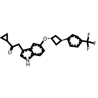 O=C(Cc1c[nH]c2ccc(O[C@H]3C[C@H](c4ccc(C(F)(F)F)cc4)C3)cc12)C1CC1